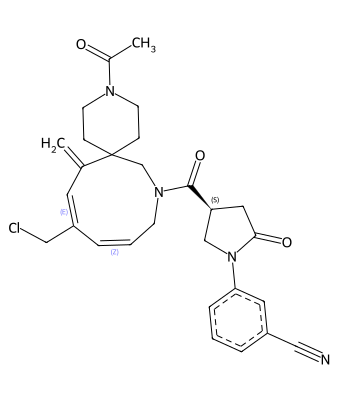 C=C1/C=C(CCl)\C=C/CN(C(=O)[C@H]2CC(=O)N(c3cccc(C#N)c3)C2)CC12CCN(C(C)=O)CC2